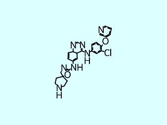 Clc1cc(NC2=NC=NC3C=CC(NC4=NCC5(CCNCC5)O4)=CC23)ccc1Oc1cccnc1